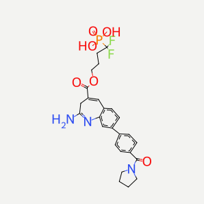 NC1=Nc2cc(-c3ccc(C(=O)N4CCCC4)cc3)ccc2C=C(C(=O)OCCCC(F)(F)P(=O)(O)O)C1